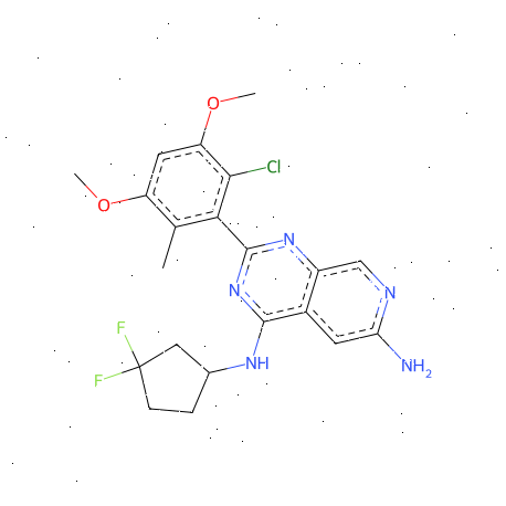 COc1cc(OC)c(Cl)c(-c2nc(NC3CCC(F)(F)C3)c3cc(N)ncc3n2)c1C